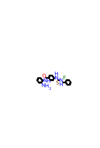 Nc1ccccc1NC(=O)c1ccc(NC(=S)NCc2ccccc2F)cc1